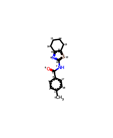 Cc1ccc(C(=O)Nc2nc3c(s2)CCCC3)cc1